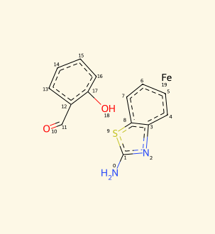 Nc1nc2ccccc2s1.O=Cc1ccccc1O.[Fe]